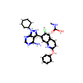 CNC(=O)O.Nc1ncnc2c1c(-c1cc3nc(Oc4ccccc4)ccc3cc1Cl)nn2C1CCCCC1